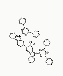 C=C1C=c2c(c3ccccc3n2C2=NC(c3ccccc3)NC(c3ccccc3)=N2)=CC1c1ccc2c3ccccc3n(-c3nc(-c4ccccc4)cc(-c4ccccc4)n3)c2c1